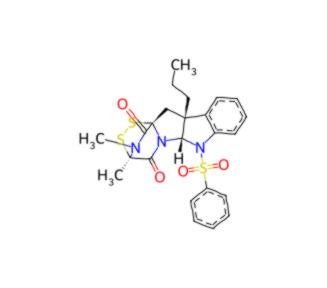 CCC[C@]12C[C@@]34SS[C@](C)(C(=O)N3[C@H]1N(S(=O)(=O)c1ccccc1)c1ccccc12)N(C)C4=O